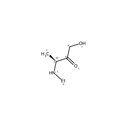 CCN[C@@H](C)C(=O)CO